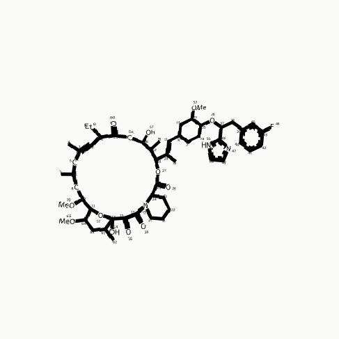 CCC1/C=C(\C)CC(C)CC(OC)C2OC(O)(C(=O)C(=O)N3CCCCC3C(=O)OC(C(C)=CC3CCC(OC(Cc4cccc(F)c4)c4ncc[nH]4)C(OC)C3)C(C)C(O)CC1=O)C(C)CC2OC